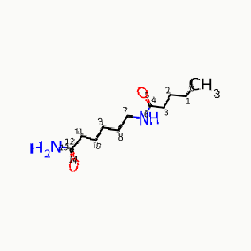 CCCCC(=O)NCCCCCC(N)=O